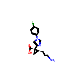 NCCC[C@H]1C[C@]1(C(=O)O)c1cn(-c2ccc(F)cc2)cn1